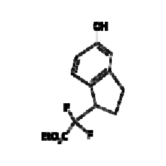 CCOC(=O)C(F)(F)C1CCc2cc(O)ccc21